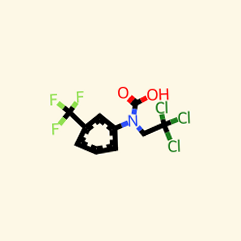 O=C(O)N(CC(Cl)(Cl)Cl)c1cccc(C(F)(F)F)c1